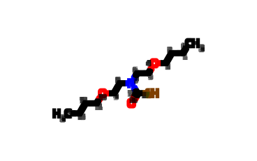 CCCCOCCN(CCOCCCC)C(=O)S